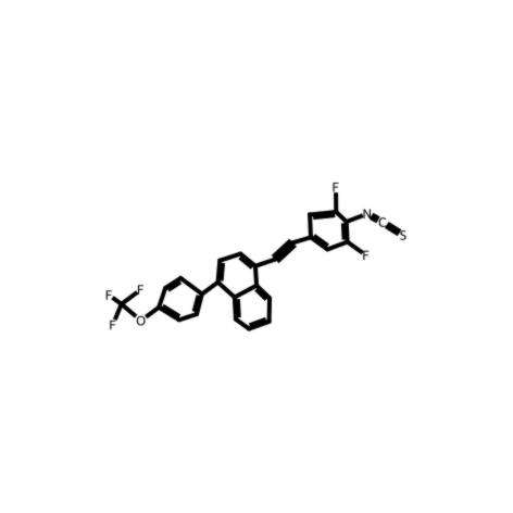 Fc1cc(C#Cc2ccc(-c3ccc(OC(F)(F)F)cc3)c3ccccc23)cc(F)c1N=C=S